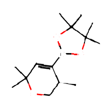 C[C@H]1COC(C)(C)C=C1B1OC(C)(C)C(C)(C)O1